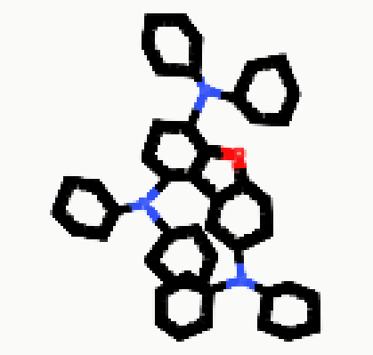 c1ccc(N(c2ccccc2)c2ccc3oc4c(N(c5ccccc5)c5ccccc5)ccc(N(c5ccccc5)c5ccccc5)c4c3c2)cc1